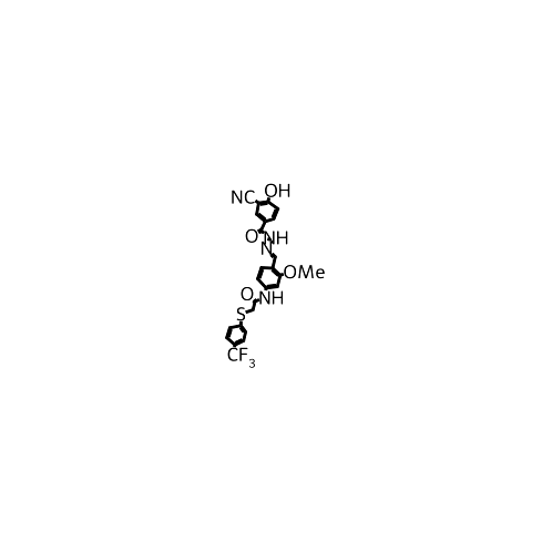 COc1cc(NC(=O)CSc2ccc(C(F)(F)F)cc2)ccc1C=NNC(=O)c1ccc(O)c(C#N)c1